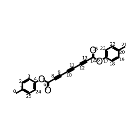 Cc1ccc(OC(=O)C#CC#CC#CC(=O)Oc2ccc(C)cc2)cc1